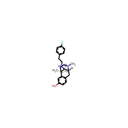 CN1CC[C@]2(C)c3cc(O)ccc3C[C@@H]1[C@@H]2NCCc1ccc(F)cc1